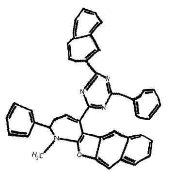 CN1c2oc3cc4ccccc4cc3c2C(c2nc(-c3ccccc3)nc(-c3ccc4ccccc4c3)n2)=CC1c1ccccc1